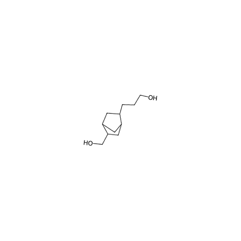 OCCCC1CC2CC1CC2CO